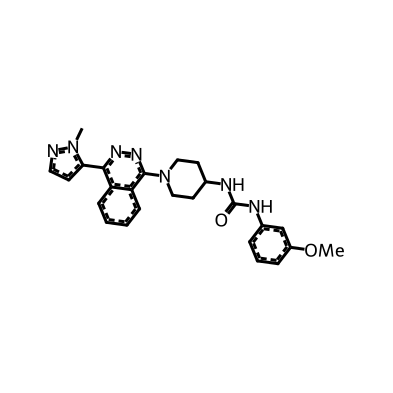 COc1cccc(NC(=O)NC2CCN(c3nnc(-c4ccnn4C)c4ccccc34)CC2)c1